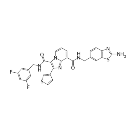 Nc1nc2ccc(CNC(=O)c3cccn4c(C(=O)NCc5cc(F)cc(F)c5)c(-c5ccsc5)nc34)cc2s1